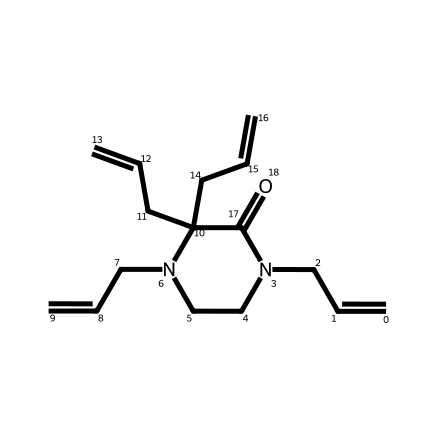 C=CCN1CCN(CC=C)C(CC=C)(CC=C)C1=O